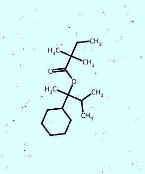 CCC(C)(C)C(=O)OC(C)(C(C)C)C1CCCCC1